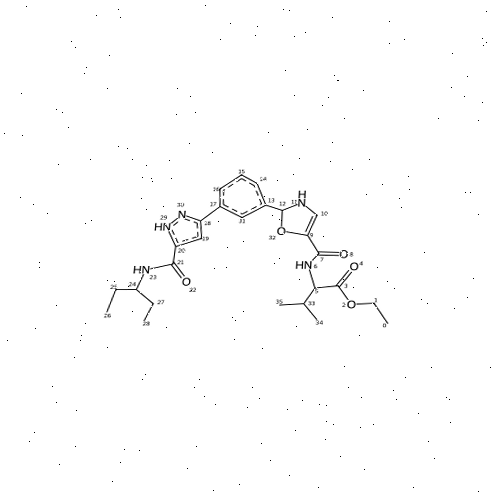 CCOC(=O)C(NC(=O)C1=CNC(c2cccc(-c3cc(C(=O)NC(CC)CC)[nH]n3)c2)O1)C(C)C